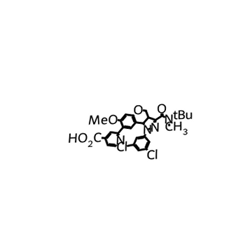 COc1cc2c(cc1-c1cc(C(=O)O)ccn1)C1C(CO2)C(C(=O)N(C)C(C)(C)C)=NN1c1cc(Cl)cc(Cl)c1